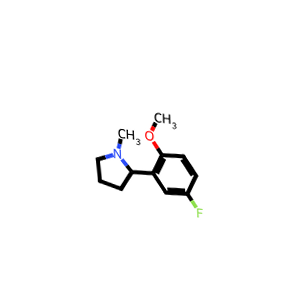 COc1ccc(F)cc1C1CCCN1C